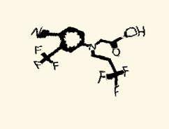 N#Cc1ccc(N(CCC(F)(F)F)CC(=O)O)cc1C(F)(F)F